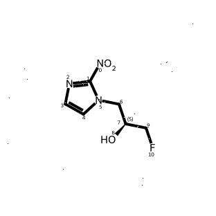 O=[N+]([O-])c1nccn1C[C@H](O)CF